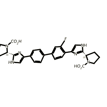 O=C(O)N1CCC[C@H]1c1nc(-c2ccc(-c3ccc(-c4c[nH]c([C@@H]5CCCN5C(=O)O)n4)c(F)c3)cc2)c[nH]1